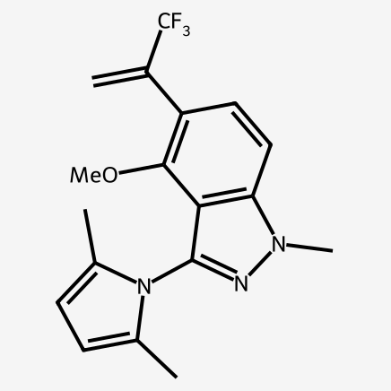 C=C(c1ccc2c(c(-n3c(C)ccc3C)nn2C)c1OC)C(F)(F)F